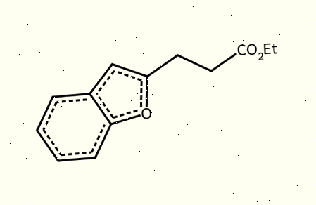 CCOC(=O)CCc1cc2ccccc2o1